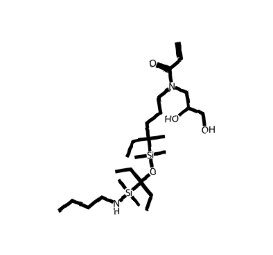 C=CC(=O)N(CCCC(C)(CC)[Si](C)(C)OC(CC)(CC)[Si](C)(C)NCCCC)CC(O)CO